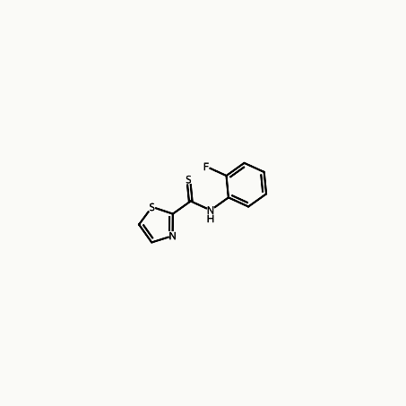 Fc1ccccc1NC(=S)c1nccs1